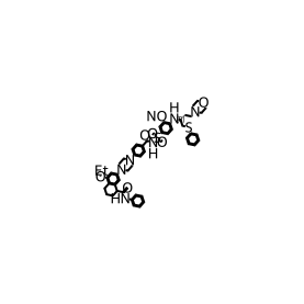 CCOc1cc(N2CCN(c3ccc(C(=O)NS(=O)(=O)c4ccc(N[C@H](CCN5CCOCC5)CSc5ccccc5)c(N=O)c4)cc3)CC2)cc2c1CCCC2C(=O)Nc1ccccc1